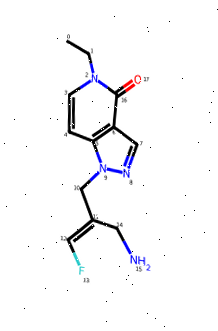 CCn1ccc2c(cnn2C/C(=C/F)CN)c1=O